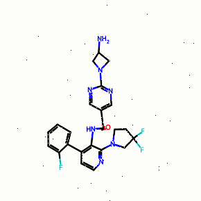 NC1CN(c2ncc(C(=O)Nc3c(-c4ccccc4F)ccnc3N3CCC(F)(F)C3)cn2)C1